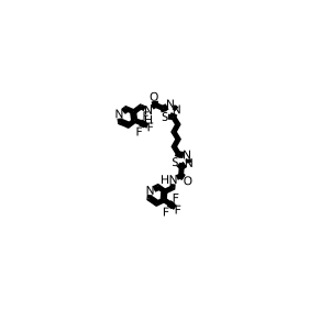 O=C(NCc1cnccc1C(F)(F)F)c1nnc(CCCCc2nnc(C(=O)NCc3cnccc3C(F)(F)F)s2)s1